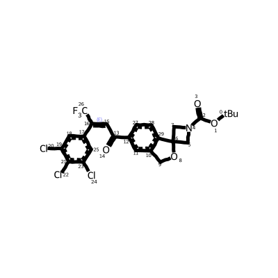 CC(C)(C)OC(=O)N1CC2(C1)OCc1cc(C(=O)/C=C(\c3cc(Cl)c(Cl)c(Cl)c3)C(F)(F)F)ccc12